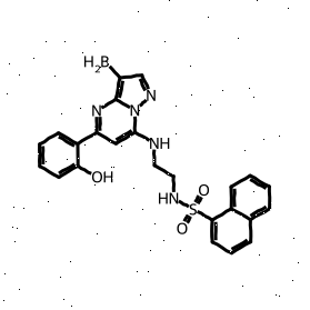 Bc1cnn2c(NCCNS(=O)(=O)c3cccc4ccccc34)cc(-c3ccccc3O)nc12